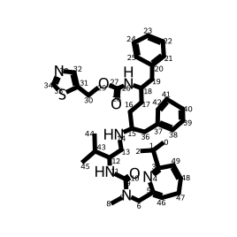 CC(C)C1=NC(CN(C)C(=O)NC(CNC(CCC(Cc2ccccc2)NC(=O)OCc2cncs2)Cc2ccccc2)C(C)C)=CCC=C1